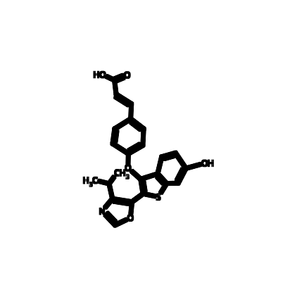 CC(C)c1ncoc1-c1sc2cc(O)ccc2c1Oc1ccc(/C=C/C(=O)O)cc1